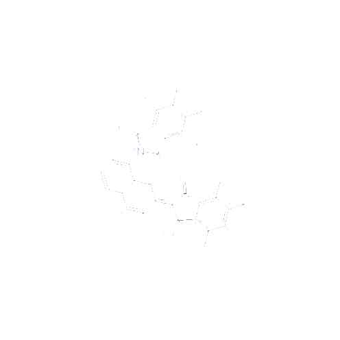 C=C1c2c(C)c(C)c(C)c(C)c2C(=O)N1c1cccc2c1C(C)C(=C1C(=O)c3c(C)c(C)c(C)c(C)c3C1=O)C=C2